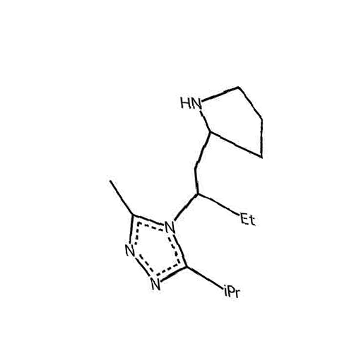 CCC(CC1CCCN1)n1c(C)nnc1C(C)C